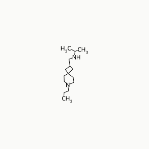 CCCN1CCC2(CC1)CC(CNC(C)C)C2